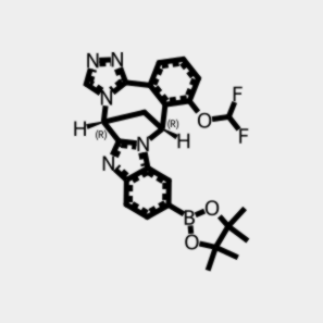 CC1(C)OB(c2ccc3nc4n(c3c2)[C@@H]2C[C@H]4n3cnnc3-c3cccc(OC(F)F)c32)OC1(C)C